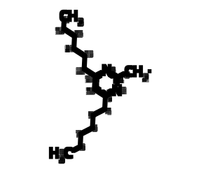 [CH2]c1nc(CCCCCC)cc(CCCCCC)n1